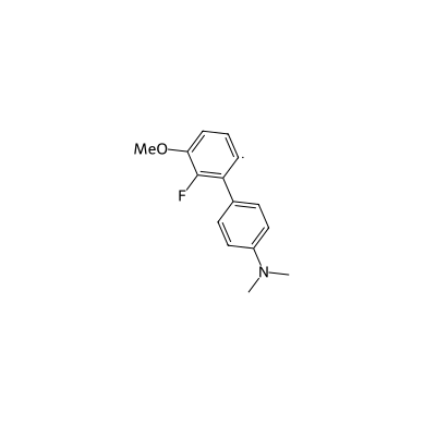 COc1cc[c]c(-c2ccc(N(C)C)cc2)c1F